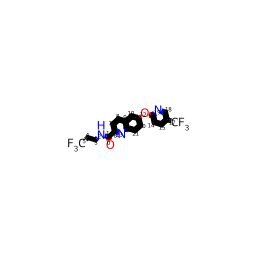 O=C(NCCC(F)(F)F)c1ccc2cc(Oc3ccc(C(F)(F)F)cn3)ccc2n1